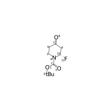 CC(C)(C)OC(=O)N1CCC(=O)C[C@@H]1F